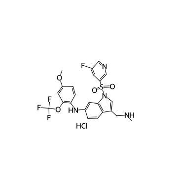 CNCc1cn(S(=O)(=O)c2cncc(F)c2)c2cc(Nc3ccc(OC)cc3OC(F)(F)F)ccc12.Cl